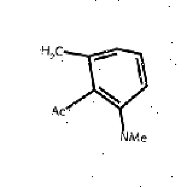 [CH2]c1cccc(NC)c1C(C)=O